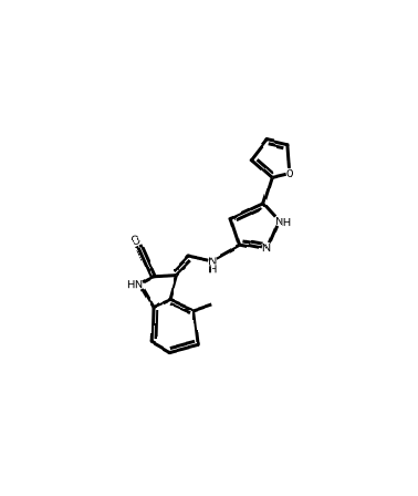 Cc1cccc2c1/C(=C\Nc1cc(-c3ccco3)[nH]n1)C(=O)N2